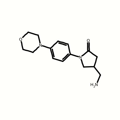 NCC1CC(=O)N(c2ccc(N3CCOCC3)cc2)C1